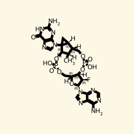 C[C@@H]1[C@H]2COP(=O)(O)O[C@H]3[C@@H](F)[C@H](n4cnc5c(N)ncnc54)O[C@@H]3COP(=O)(O)O[C@H]1C1(n3cnc4c(=O)[nH]c(N)nc43)C[C@@H]21